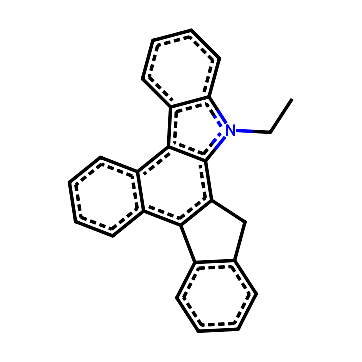 CCn1c2ccccc2c2c3ccccc3c3c(c21)Cc1ccccc1-3